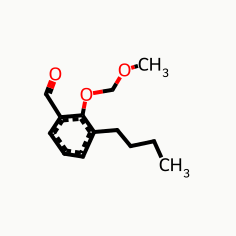 CCCCc1cccc(C=O)c1OCOC